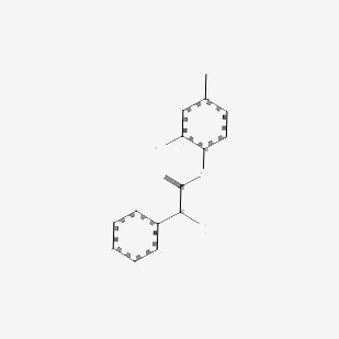 Cc1ccc(NC(=O)C(Br)c2ccccc2)c(O)c1